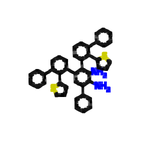 Nc1c(-c2ccccc2)cc(-c2cccc(-c3ccccc3)c2-c2cccs2)c(-c2cccc(-c3ccccc3)c2-c2cccs2)c1N